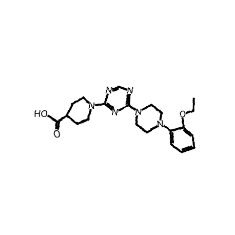 CCOc1ccccc1N1CCN(c2ncnc(N3CCC(C(=O)O)CC3)n2)CC1